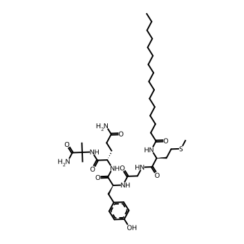 CCCCCCCCCCCCCCCC(=O)N[C@@H](CCSC)C(=O)NCC(=O)N[C@@H](Cc1ccc(O)cc1)C(=O)N[C@@H](CCC(N)=O)C(=O)NC(C)(C)C(N)=O